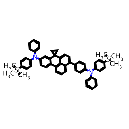 C[Si](C)(C)c1ccc(N(c2ccccc2)c2ccc(-c3ccc4c5c(cccc35)-c3ccc(N(c5ccccc5)c5ccc([Si](C)(C)C)cc5)cc3C43CC3)cc2)cc1